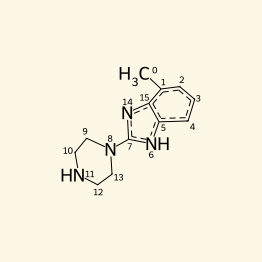 Cc1cccc2[nH]c(N3CCNCC3)nc12